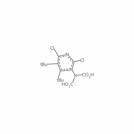 CC(C)(C)c1c(Cl)nc(Cl)c(N(C(=O)O)C(=O)O)c1C(C)(C)C